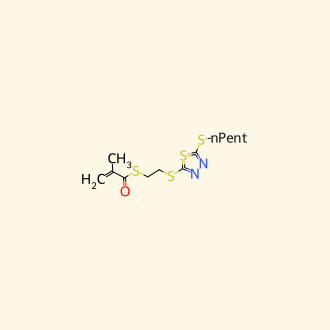 C=C(C)C(=O)SCCSc1nnc(SCCCCC)s1